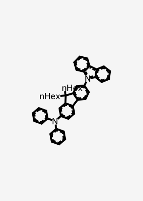 CCCCCCC1(CCCCCC)c2cc(N(c3ccccc3)c3ccccc3)ccc2-c2ccc(-n3c4ccccc4c4ccccc43)cc21